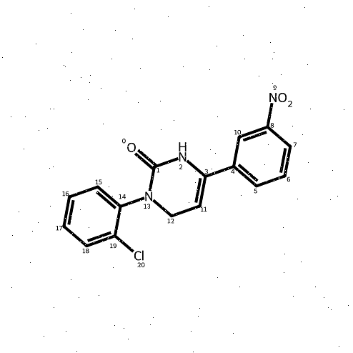 O=C1NC(c2cccc([N+](=O)[O-])c2)=CCN1c1ccccc1Cl